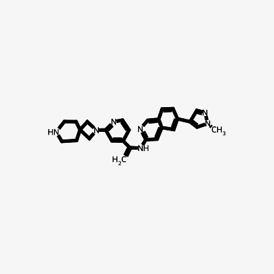 C=C(Nc1cc2cc(-c3cnn(C)c3)ccc2cn1)c1ccnc(N2CC3(CCNCC3)C2)c1